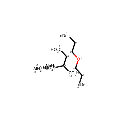 CCCCCCCCCCCCOCCCCCCCCCCCC.O=C(O)CC(C(=O)O)S(=O)(=O)O.[AlH3].[NaH].[NaH]